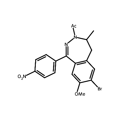 COc1cc2c(cc1Br)CC(C)N(C(C)=O)N=C2c1ccc([N+](=O)[O-])cc1